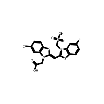 O=C(O)CN1/C(=C/c2sc3ccc(Cl)cc3[n+]2CS(=O)(=O)O)Sc2ccc(Cl)cc21